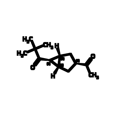 CC(=O)[C@H]1C[C@@H]2[C@H](C1)[C@H]2C(=O)C(C)(C)C